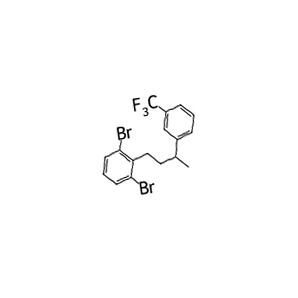 CC(CCc1c(Br)cccc1Br)c1cccc(C(F)(F)F)c1